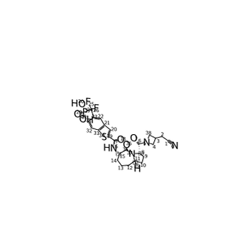 N#CCC1CN(C(=O)[C@@H]2CC[C@@H]3CCC[C@H](NC(=O)c4cc5cc(C(F)(F)P(=O)(O)O)ccc5s4)C(=O)N32)C1